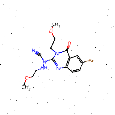 COCCNN(C#N)c1nc2ccc(Br)cc2c(=O)n1CCOC